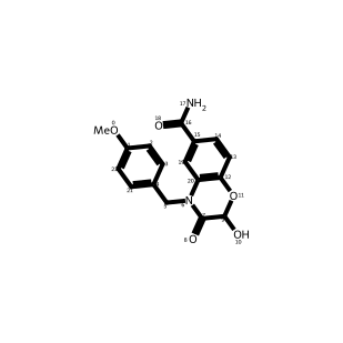 COc1ccc(CN2C(=O)C(O)Oc3ccc(C(N)=O)cc32)cc1